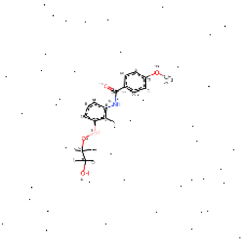 Cc1c(BOC(C)(C)C(C)(C)O)cccc1NC(=O)c1ccc(OC(F)(F)F)cc1